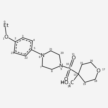 CCOc1ccc(N2CCN(S(=O)(=O)C3(C(=O)O)CCOCC3)CC2)cc1